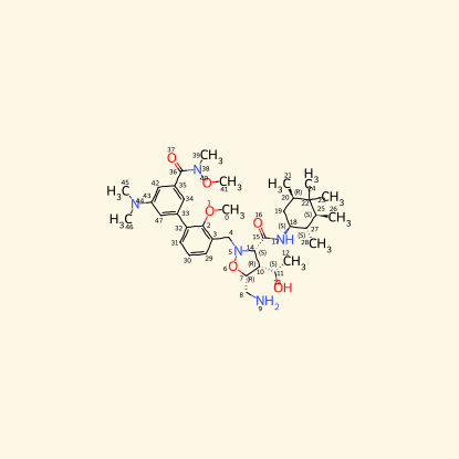 COc1c(CN2O[C@@H](CN)[C@@H]([C@H](C)O)[C@H]2C(=O)N[C@H]2C[C@@H](C)C(C)(C)[C@@H](C)[C@@H]2C)cccc1-c1cc(C(=O)N(C)OC)cc(N(C)C)c1